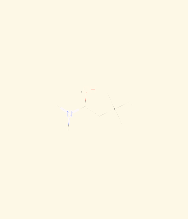 CN(C)C(O)CC(C)(C)C